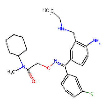 CN(C(=O)CO/N=C(\c1cccc(Cl)c1)c1ccc(N)c(CNCC(=O)O)c1)C1CCCCC1